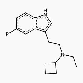 CCN(CCc1c[nH]c2ccc(F)cc12)C1CCC1